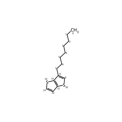 CCCCCCCCc1csc2ccsc12